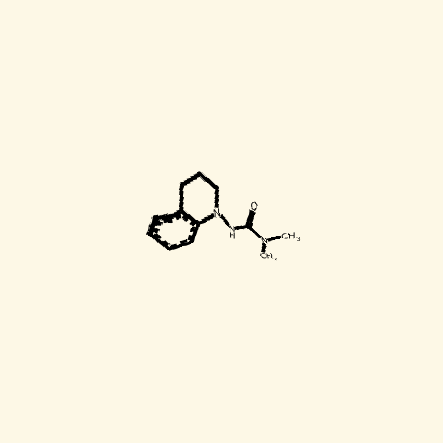 CN(C)C(=O)NN1CCCc2ccccc21